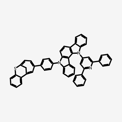 C1=C2CC(=CC(c3ccc(-n4c5ccccc5c5c4ccc4c6ccccc6n(-c6cc(-c7ccccc7)nc(-c7ccccc7)c6)c45)cc3)=C1)c1ccccc1S2